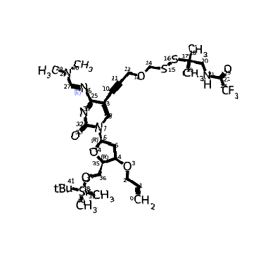 C=CCOC1C[C@H](n2cc(C#CCOCSSC(C)(C)CNC(=O)C(F)(F)F)c(/N=C/N(C)C)nc2=O)O[C@@H]1CO[Si](C)(C)C(C)(C)C